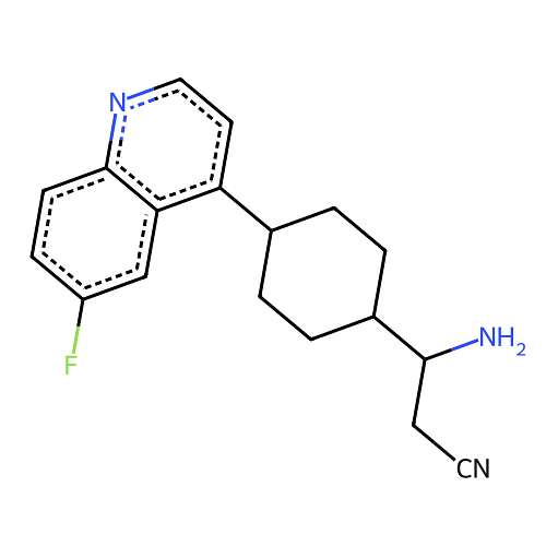 N#CCC(N)C1CCC(c2ccnc3ccc(F)cc23)CC1